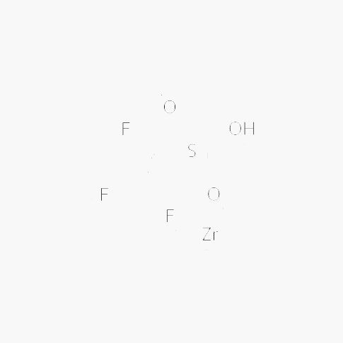 O=S(=O)(O)C(F)(F)F.[Zr]